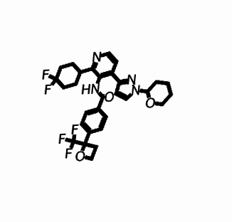 O=C(Nc1c(-c2ccn(C3CCCCO3)n2)ccnc1C1CCC(F)(F)CC1)c1ccc(C2(C(F)(F)F)CCO2)cc1